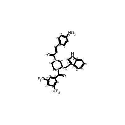 O=C(/C=C/c1ccc([N+](=O)[O-])cc1)N1CCN(C(=O)c2cc(C(F)(F)F)cc(C(F)(F)F)c2)[C@H](Cc2c[nH]c3ccccc23)C1